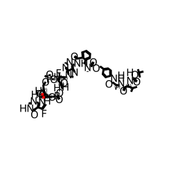 CC(C)[C@H](NC(=O)OC(C)(C)C)C(=O)N[C@@H](C)C(=O)Nc1ccc(COC(=O)N(C)Cc2ccccc2C(=O)Nc2ncnc3c2ncn3[C@@H]2O[C@@H]3CO[PH](=O)O[C@@H]4[C@H](O)[C@@H](COP(C)(=O)O[C@H]3[C@H]2F)O[C@H]4n2cc(F)c3c(=O)[nH]cnc32)cc1